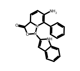 NC1=C(c2ccccc2)N2C(C=C1)C(=O)ON2c1cc2ccccc2[nH]1